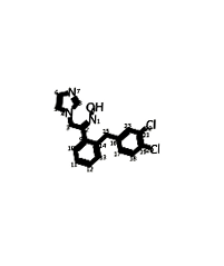 ON=C(Cn1ccnc1)c1ccccc1Cc1ccc(Cl)c(Cl)c1